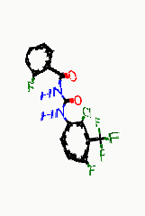 O=C(NC(=O)c1ccccc1F)Nc1ccc(F)c(C(F)(F)F)c1Cl